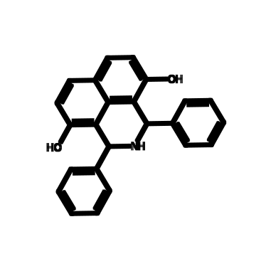 Oc1ccc2ccc(O)c3c2c1C(c1ccccc1)NC3c1ccccc1